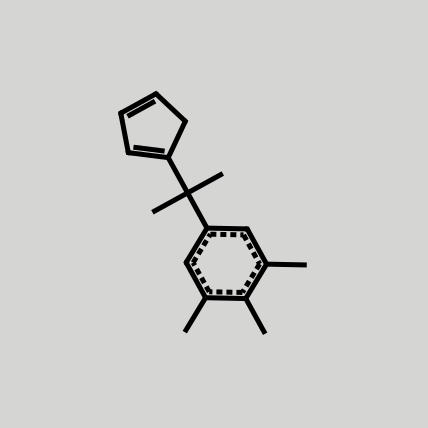 Cc1cc(C(C)(C)C2=CC=CC2)cc(C)c1C